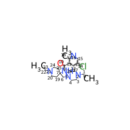 CCN1CCN(CC2(NC(=O)c3cc(Cl)cnc3C)CCN(CC)CC2)CC1